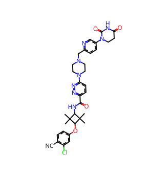 CC1(C)C(NC(=O)c2ccc(N3CCN(Cc4ccc(N5CCC(=O)NC5=O)cn4)CC3)nn2)C(C)(C)C1Oc1ccc(C#N)c(Cl)c1